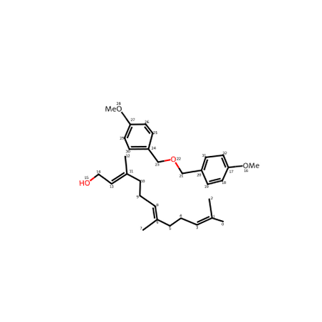 CC(C)=CCCC(C)=CCCC(C)=CCO.COc1ccc(COCc2ccc(OC)cc2)cc1